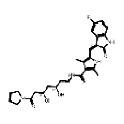 Cc1[nH]c(/C=C2\C(=O)Nc3ccc(F)cc32)c(C)c1C(=O)NCC[C@@H](O)C[C@@H](O)CC(=O)N1CCCC1